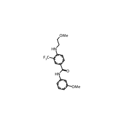 COCCNc1ccc(C(=O)Nc2cccc(OC)c2)cc1C(F)(F)F